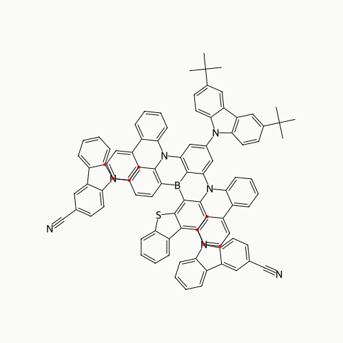 CC(C)(C)c1ccc2c(c1)c1cc(C(C)(C)C)ccc1n2-c1cc2c3c(c1)N(c1ccccc1-c1ccccc1)c1cc(-n4c5ccccc5c5cc(C#N)ccc54)c4c(sc5ccccc54)c1B3c1ccc(-n3c4ccccc4c4cc(C#N)ccc43)cc1N2c1ccccc1-c1ccccc1